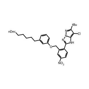 CCCCCCCCCCCCCCCc1cccc(OCc2cc([N+](=O)[O-])ccc2-c2nn3nc(C(C)(C)C)c(Cl)c3[nH]2)c1